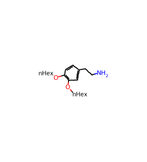 CCCCCCOc1ccc(CCN)cc1OCCCCCC